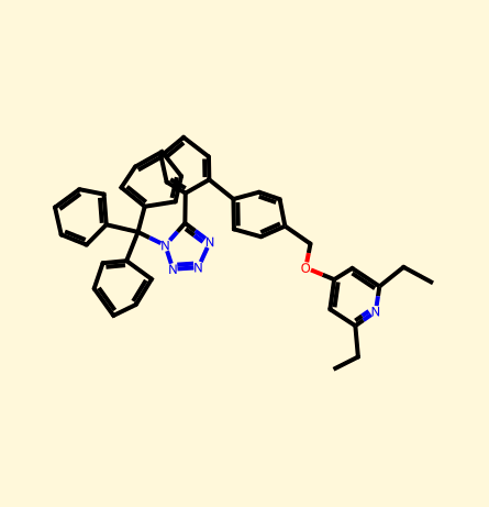 CCc1cc(OCc2ccc(-c3ccccc3-c3nnnn3C(c3ccccc3)(c3ccccc3)c3ccccc3)cc2)cc(CC)n1